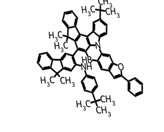 CC(C)(C)c1ccc(Nc2cc3c(cc2-c2c4c(c5c6cc(C(C)(C)C)ccc6n6c5c2Bc2cc5cc(-c7ccccc7)oc5cc2-6)-c2ccccc2C4(C)C)-c2ccccc2C3(C)C)cc1